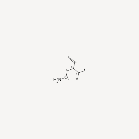 C=CC(CON)C(C)C